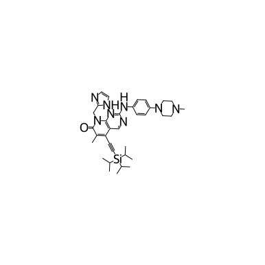 Cc1c(C#C[Si](C(C)C)(C(C)C)C(C)C)c2cnc(Nc3ccc(N4CCN(C)CC4)cc3)nc2n(Cc2ncc[nH]2)c1=O